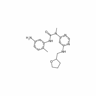 Cc1ccc(N)cc1NC(=O)N(C)c1cc(NCC2CCCO2)ncn1